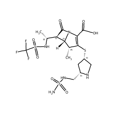 C[C@@H](NS(=O)(=O)C(F)(F)F)[C@H]1C(=O)N2C(C(=O)O)=C(S[C@@H]3CN[C@H](CNS(N)(=O)=O)C3)[C@H](C)[C@H]12